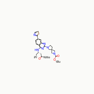 CNC(=O)C[C@H](CC(C)C)Nc1nc(N2CCC3(CN(C(=O)OC(C)(C)C)C3)C2)nc2cc(-c3nccs3)ccc12